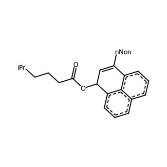 CCCCCCCCCC1=CC(OC(=O)CCCC(C)C)c2cccc3cccc1c23